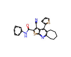 N#Cc1c(C(=O)Nc2ccccc2)sc2nc3c(c(-c4cccs4)c12)CCCCC3